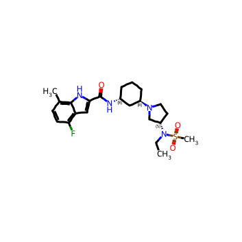 CCN([C@H]1CCN([C@@H]2CCC[C@@H](NC(=O)c3cc4c(F)ccc(C)c4[nH]3)C2)C1)S(C)(=O)=O